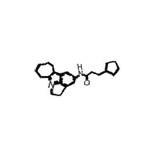 O=C(CCC1CCCC1)Nc1cc2c3c(c1)c1c(n3CC2)CCCCC1